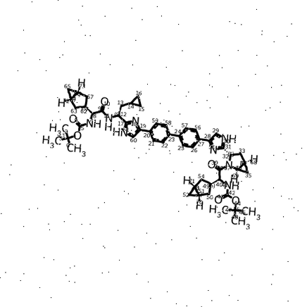 CC(C)(C)OC(=O)NC(C(=O)N[C@@H](CC1CC1)c1nc(-c2ccc(-c3ccc(-c4c[nH]c([C@@H]5C[C@H]6C[C@H]6N5C(=O)C(NC(=O)OC(C)(C)C)[C@H]5C[C@@H]6C[C@@H]6C5)n4)cc3)cc2)c[nH]1)[C@H]1C[C@@H]2C[C@@H]2C1